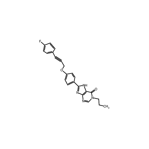 CCCn1cnc2nc(-c3ccc(OCC#Cc4ccc(F)cc4)cc3)[nH]c2c1=O